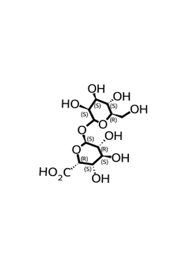 O=C(O)[C@@H]1O[C@@H](OC2O[C@H](CO)[C@@H](O)[C@H](O)[C@@H]2O)[C@H](O)[C@@H](O)[C@@H]1O